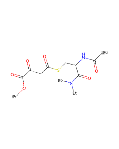 CCC(C)C(=O)NC(CSC(=O)CC(=O)C(=O)OC(C)C)C(=O)N(CC)CC